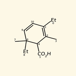 CCC1=C(C)C(C(=O)O)C(C)(CC)C=C1